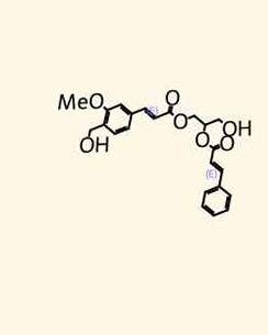 COc1cc(/C=C/C(=O)OCC(CO)OC(=O)/C=C/c2ccccc2)ccc1CO